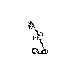 O=C(CCCSc1ccncn1)NCC=CCOc1cc(CN2CCCCC2)ccn1